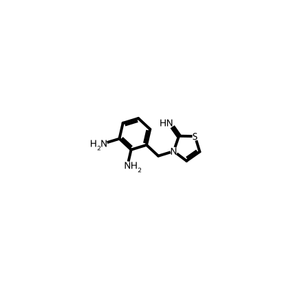 N=c1sccn1Cc1cccc(N)c1N